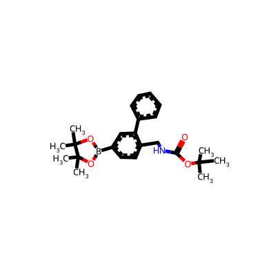 CC(C)(C)OC(=O)NCc1ccc(B2OC(C)(C)C(C)(C)O2)cc1-c1ccccc1